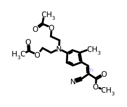 COC(=O)/C(C#N)=C/c1ccc(N(CCOC(C)=O)CCOC(C)=O)cc1C